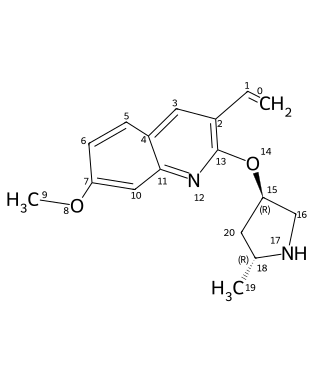 C=Cc1cc2ccc(OC)cc2nc1O[C@H]1CN[C@H](C)C1